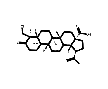 C=C(C)[C@@H]1CC[C@]2(C(=O)O)CC[C@]3(C)C(CC[C@@H]4[C@@]5(C)CCC(=O)[C@@](C)(CO)[C@@H]5CC[C@]43C)[C@@H]12